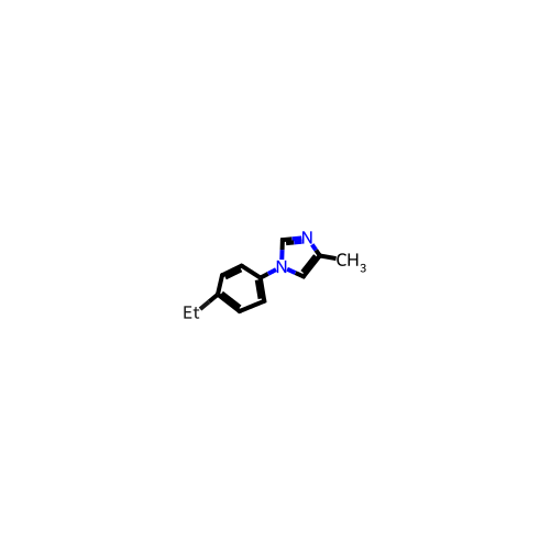 CCc1ccc(-n2cnc(C)c2)cc1